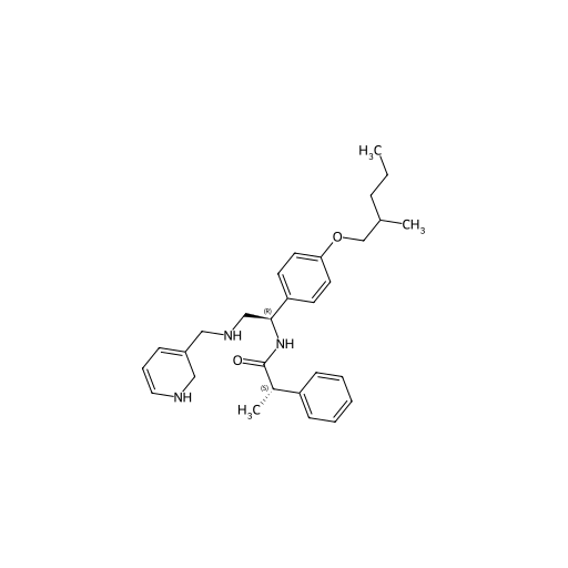 CCCC(C)COc1ccc([C@H](CNCC2=CC=CNC2)NC(=O)[C@@H](C)c2ccccc2)cc1